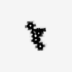 CCCCCCCC(CCCc1cnc(-c2ccccc2)nc1-c1ccccc1)c1ccccc1